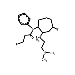 CN(C)CCN(C)C1CC(F)CCCC1N(C(=O)CCF)c1ccccc1